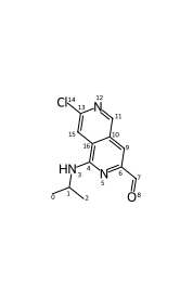 CC(C)Nc1nc(C=O)cc2cnc(Cl)cc12